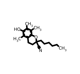 CCCCCCC1(C#N)CCc2c(C)c(O)c(C)c(C)c2O1